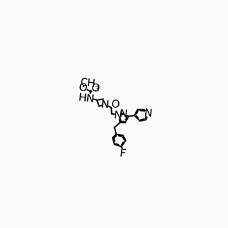 COC(=O)NC1CN(C(=O)Cn2nc(-c3ccncc3)cc2Cc2ccc(F)cc2)C1